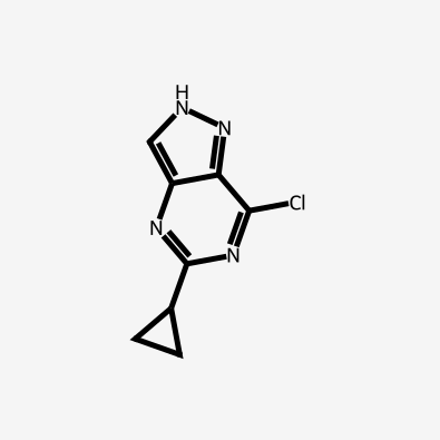 Clc1nc(C2CC2)nc2c[nH]nc12